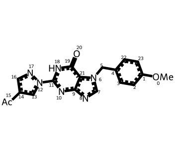 COc1ccc(Cn2cnc3nc(-n4cc(C(C)=O)cn4)[nH]c(=O)c32)cc1